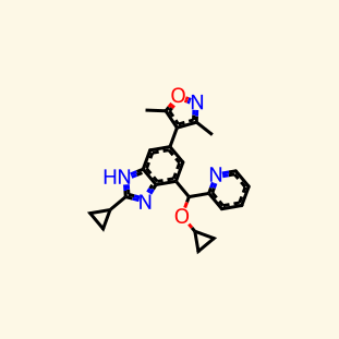 Cc1noc(C)c1-c1cc(C(OC2CC2)c2ccccn2)c2nc(C3CC3)[nH]c2c1